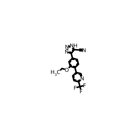 CCOc1cc(-c2nn[nH]c2C#N)ccc1-c1ccc(C(F)(F)F)nc1